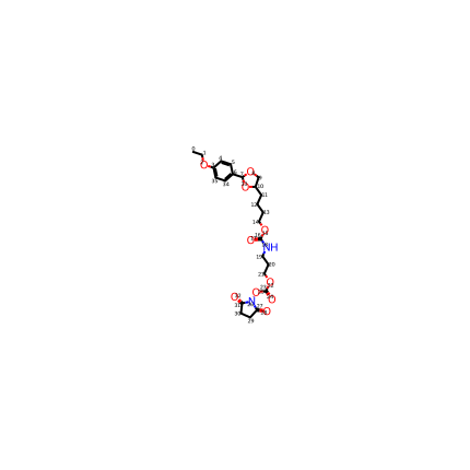 CCOc1ccc(C2OCC(CCCCOC(=O)NCCCOC(=O)ON3C(=O)CCC3=O)O2)cc1